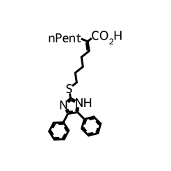 CCCCC/C(=C\CCCCSc1nc(-c2ccccc2)c(-c2ccccc2)[nH]1)C(=O)O